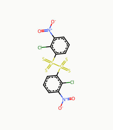 O=[N+]([O-])c1cccc(S(=S)(=S)S(=S)(=S)c2cccc([N+](=O)[O-])c2Cl)c1Cl